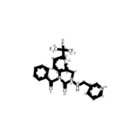 O=C(c1ccccc1)N1C(=O)N(NCc2cccnc2)Cc2cc(C(F)(C(F)(F)F)C(F)(F)F)ccc21